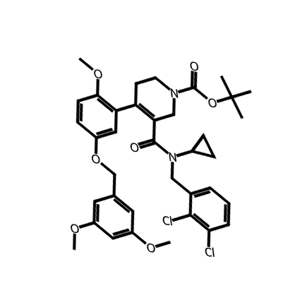 COc1cc(COc2ccc(OC)c(C3=C(C(=O)N(Cc4cccc(Cl)c4Cl)C4CC4)CN(C(=O)OC(C)(C)C)CC3)c2)cc(OC)c1